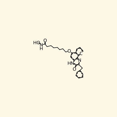 O=C(CCCCCCCOc1cc2[nH]c(=O)c(Cc3ccccc3)nc2c2ccccc12)NO